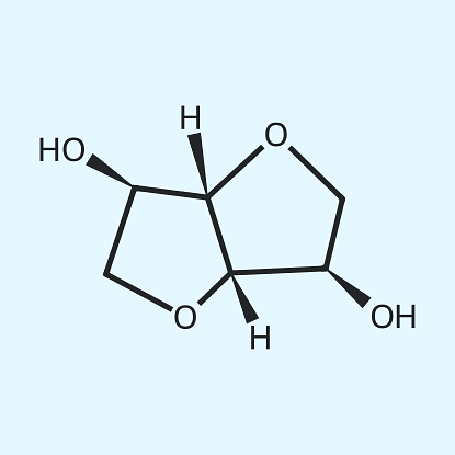 O[C@@H]1CO[C@@H]2[C@H]1OC[C@H]2O